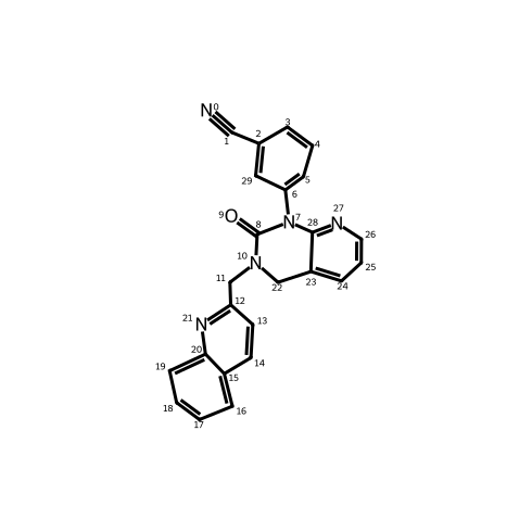 N#Cc1cccc(N2C(=O)N(Cc3ccc4ccccc4n3)Cc3cccnc32)c1